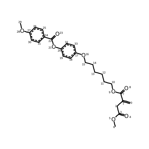 C=C(CC(=O)OC)C(=O)OCCCCCCOc1ccc(OC(=O)c2ccc(OC)cc2)cc1